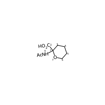 CC(=O)NC1(C(=O)O)CCCCO1